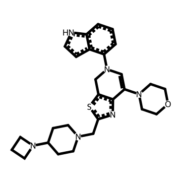 C1=C(N2CCOCC2)c2nc(CN3CCC(N4CCC4)CC3)sc2CN1c1cccc2[nH]ccc12